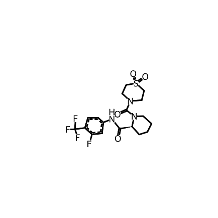 O=C(Nc1ccc(C(F)(F)F)c(F)c1)[C@@H]1CCCCN1C(=O)N1CCS(=O)(=O)CC1